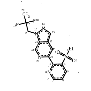 CCS(=O)(=O)c1cccnc1-c1cc2cnn(CC(F)(F)C(F)(F)F)c2cn1